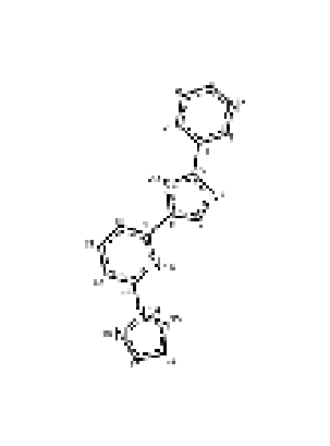 c1cncc(-c2ncc(-c3cccc(-n4cccn4)n3)s2)c1